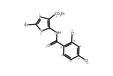 CCOC(=O)c1nc(CC)sc1NC(=O)c1ccc(Cl)cc1Cl